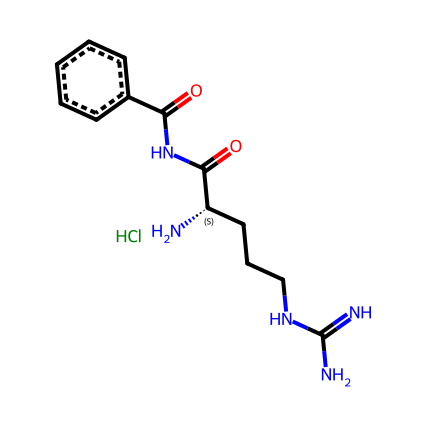 Cl.N=C(N)NCCC[C@H](N)C(=O)NC(=O)c1ccccc1